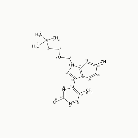 C[Si](C)(C)CCOCn1cc(-c2nc(Cl)ncc2C(F)(F)F)c2ccc(C#N)cc21